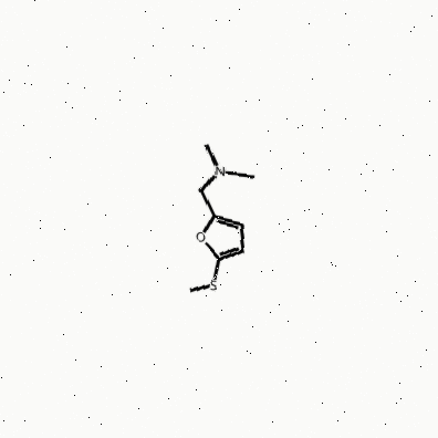 CSc1ccc(CN(C)C)o1